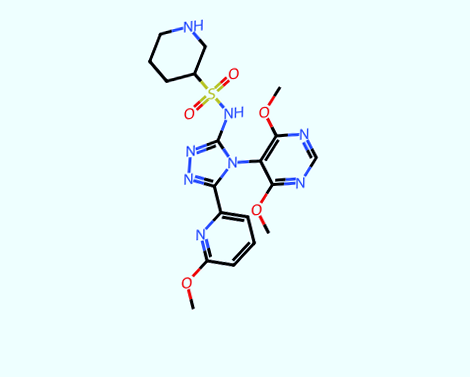 COc1cccc(-c2nnc(NS(=O)(=O)C3CCCNC3)n2-c2c(OC)ncnc2OC)n1